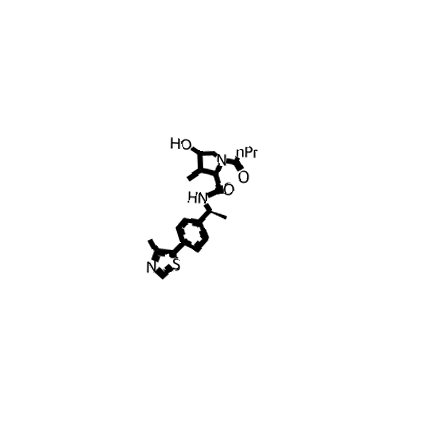 CCCC(=O)N1CC(O)C(C)C1C(=O)N[C@@H](C)c1ccc(-c2scnc2C)cc1